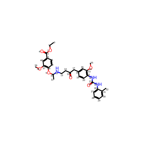 CCOC(=O)c1ccc(OC(C)NCCC(=O)Cc2ccc(NC(=O)Nc3ccccc3C)c(OC)c2)c(OC)c1